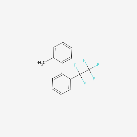 [CH2]c1ccccc1-c1ccccc1C(F)(F)C(F)(F)F